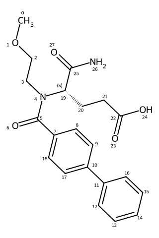 COCCN(C(=O)c1ccc(-c2ccccc2)cc1)[C@@H](CCC(=O)O)C(N)=O